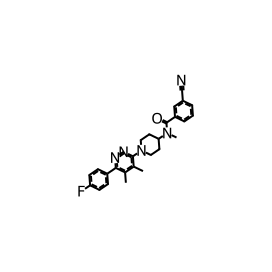 Cc1c(-c2ccc(F)cc2)nnc(N2CCC(N(C)C(=O)c3cccc(C#N)c3)CC2)c1C